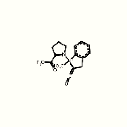 O=C=C1Cc2ccccc2[N+]1(C(=O)O)N1CCCC1C(=O)C(F)(F)F